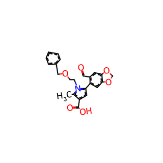 Cc1c(C(=O)O)cc(-c2cc3c(cc2C=O)OCO3)n1CCOCc1ccccc1